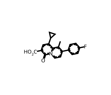 Cc1c(-c2ccc(F)cc2)ccn2c(=O)c(C(=O)O)cc(C3CC3)c12